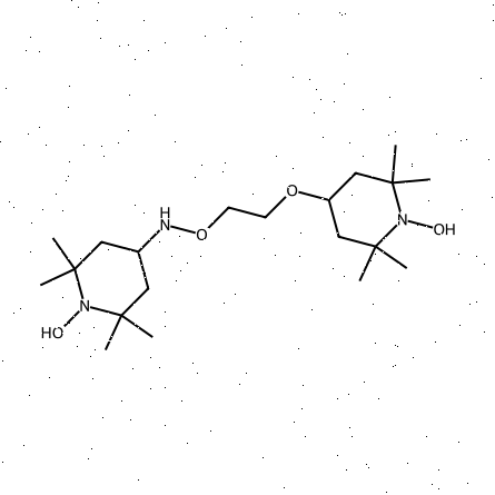 CC1(C)CC(NOCCOC2CC(C)(C)N(O)C(C)(C)C2)CC(C)(C)N1O